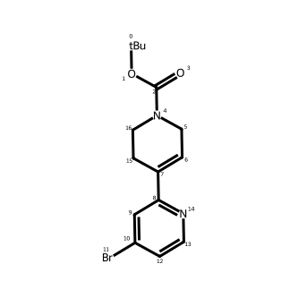 CC(C)(C)OC(=O)N1CC=C(c2cc(Br)ccn2)CC1